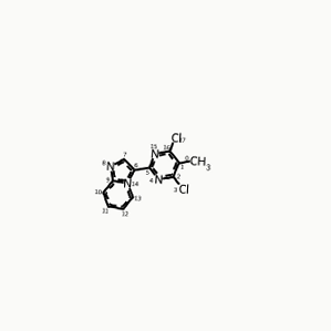 Cc1c(Cl)nc(-c2cnc3ccccn23)nc1Cl